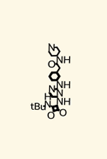 CN1CCC(NC(=O)Cc2cccc(Nc3nccc(Nc4c(NC(C)(C)C)c(=O)c4=O)n3)c2)CC1